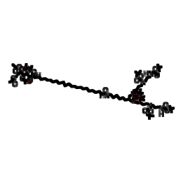 CC(=O)OC[C@@H](OC(C)=O)[C@@H](OC(C)=O)[C@H](OC(C)=O)[C@@H](OC(C)=O)C(=O)NCCCCCCCCCCCCCCCCCCCCCCCC(=O)NCCCCCCC(CN(CCCCN(CCCNC(=O)OC(C)(C)C)C(=O)OC(C)(C)C)C(=O)OC(C)(C)C)CN(CCCCN(CCCNC(=O)OC(C)(C)C)C(=O)OC(C)(C)C)C(=O)OC(C)(C)C